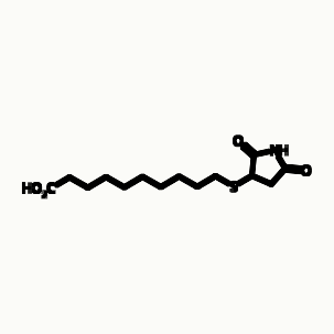 O=C(O)CCCCCCCCCSC1CC(=O)NC1=O